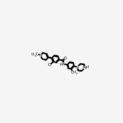 Cc1cc(NC(=O)c2ccc(C3=CCN(C)CC3)c(Cl)c2)ccc1N1CCNCC1